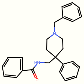 O=C(NCC1(c2ccccc2)CCN(Cc2ccccc2)CC1)c1ccccc1